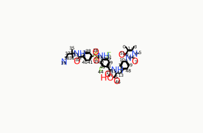 Cc1c(C)n(C)c(=O)n(-c2ccc(C[C@H](NC(=O)c3cc(F)c(NS(=O)(=O)c4ccc(C(=O)NC(C)(C)CC#N)cc4)cc3F)C(=O)O)cc2)c1=O